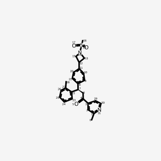 Cc1cc(C(=O)C[C@H](c2ccc(C3CN(S(C)(=O)=O)C3)cc2)c2ccccc2C)ccn1